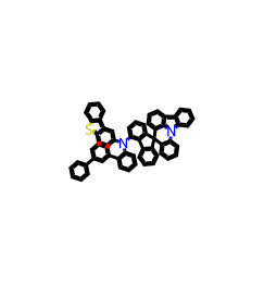 c1ccc(-c2cccc(-c3ccccc3N(c3ccc4sc5ccccc5c4c3)c3cccc4c3-c3ccccc3C43c4ccccc4-n4c5ccccc5c5cccc3c54)c2)cc1